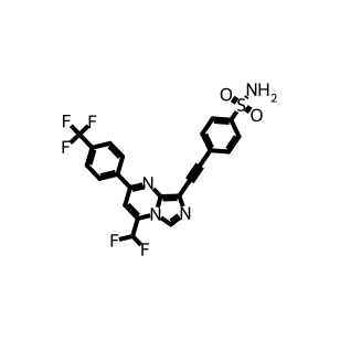 NS(=O)(=O)c1ccc(C#Cc2ncn3c(C(F)F)cc(-c4ccc(C(F)(F)F)cc4)nc23)cc1